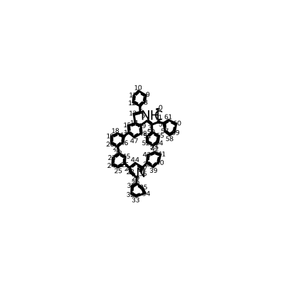 C=C=C(/C(=C1\NC(c2ccccc2)=Cc2cc(-c3cccc(-c4cccc(-c5cc(-c6ccccc6)nc(-c6ccccc6)c5)c4)c3)ccc21)c1ccccc1)c1ccccc1